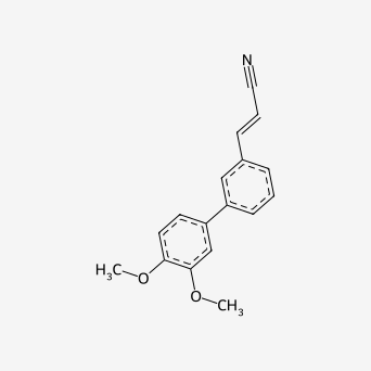 COc1ccc(-c2cccc(C=CC#N)c2)cc1OC